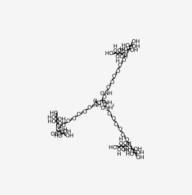 NCC(COC(=O)NCCOCCOCCOCCOCCOCCOCCN(C[C@H](N=O)[C@@H](O)[C@H](O)[C@H](O)CO)C[C@H](O)[C@@H](O)[C@H](O)[C@H](O)CO)(COC(=O)NCCOCCOCCOCCOCCOCCOCCN(C[C@H](O)[C@@H](O)[C@H](O)[C@H](O)CO)C[C@H](O)[C@@H](O)[C@H](O)[C@H](O)CO)COC(=O)NCCOCCOCCOCCOCCOCCOCCN(C[C@H](O)[C@@H](O)[C@H](O)[C@H](O)CO)C[C@H](O)[C@@H](O)[C@H](O)[C@H](O)CO